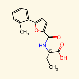 CC[C@H](NC(=O)c1ccc(-c2ccccc2C)o1)C(=O)O